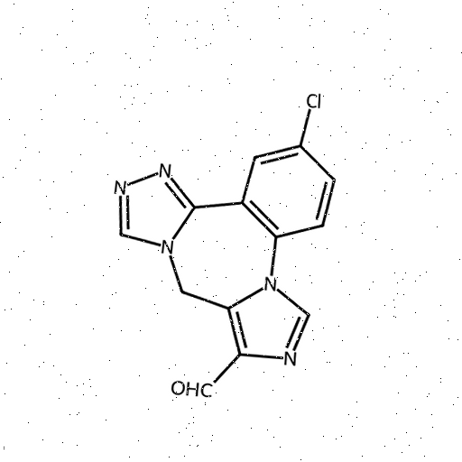 O=Cc1ncn2c1Cn1cnnc1-c1cc(Cl)ccc1-2